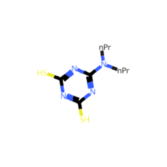 CCCN(CCC)c1nc(S)nc(S)n1